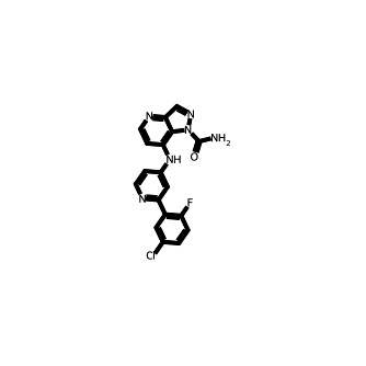 NC(=O)n1ncc2nccc(Nc3ccnc(-c4cc(Cl)ccc4F)c3)c21